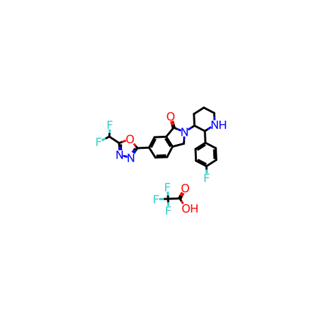 O=C(O)C(F)(F)F.O=C1c2cc(-c3nnc(C(F)F)o3)ccc2CN1C1CCCNC1c1ccc(F)cc1